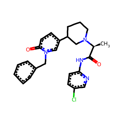 C[C@@H](C(=O)Nc1ccc(Cl)cn1)N1CCCC(c2ccc(=O)n(Cc3ccccc3)c2)C1